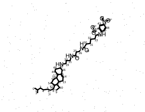 CC(C)CCC[C@@H](C)[C@H]1CCC2C3CC=C4C[C@@H](NCCCNC(=O)CCNC(=O)CCCCCNc5ccc([N+](=O)[O-])cc5[N+](=O)[O-])CC[C@]4(C)C3CC[C@@]21C